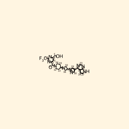 O=C(c1cc(CO)nc(C(F)(F)F)n1)N1CCC(N2CC(n3cc(-c4ncnc5[nH]ccc45)cn3)C2)CC1